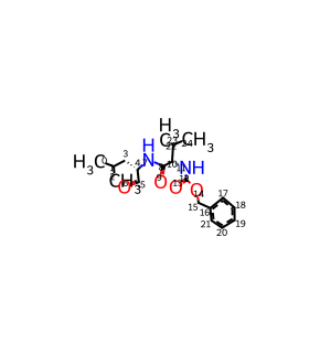 CC(C)C[C@@H]([C]=O)NC(=O)[C@@H](NC(=O)OCc1ccccc1)C(C)C